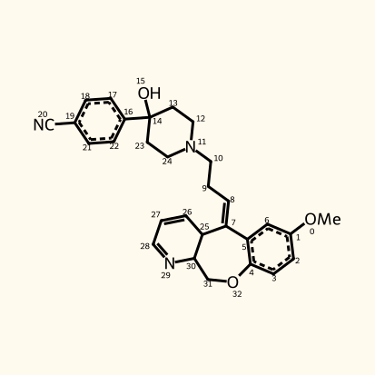 COc1ccc2c(c1)/C(=C/CCN1CCC(O)(c3ccc(C#N)cc3)CC1)C1C=CC=NC1CO2